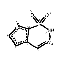 O=S1(=O)NN=Cc2ccsc21